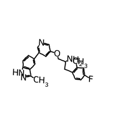 Cc1cc(F)ccc1C[C@H](N)COc1cncc(-c2ccc3[nH]nc(C)c3c2)c1